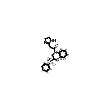 O=C(CC1=NCCN1)N1CC(S(=O)(=O)c2ccccc2)Oc2ccccc21